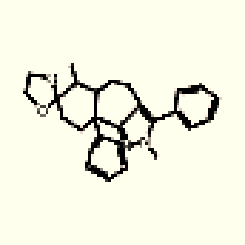 CC1C2CCc3c(nn(C)c3-c3ccccc3)C2(c2ccccc2)CCC12OCCO2